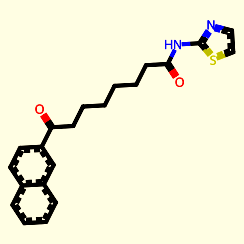 O=C(CCCCCCC(=O)c1ccc2ccccc2c1)Nc1nccs1